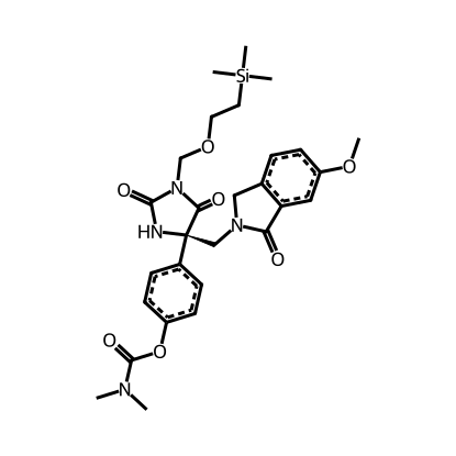 COc1ccc2c(c1)C(=O)N(C[C@@]1(c3ccc(OC(=O)N(C)C)cc3)NC(=O)N(COCC[Si](C)(C)C)C1=O)C2